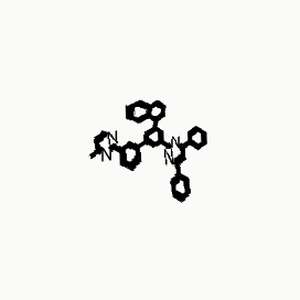 Cc1ccnc(-c2cccc(-c3cc(-c4nc(-c5ccccc5)cc(-c5ccccc5)n4)cc(-c4cccc5ccccc45)c3)c2)n1